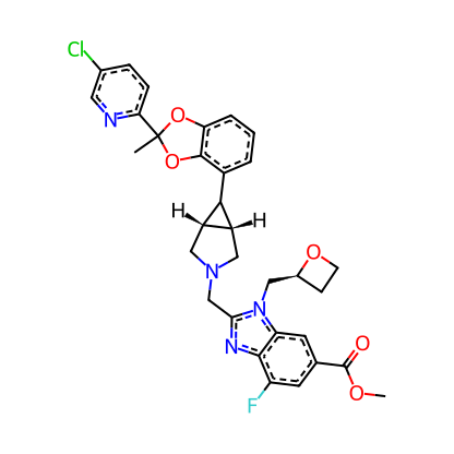 COC(=O)c1cc(F)c2nc(CN3C[C@@H]4C(c5cccc6c5OC(C)(c5ccc(Cl)cn5)O6)[C@@H]4C3)n(C[C@@H]3CCO3)c2c1